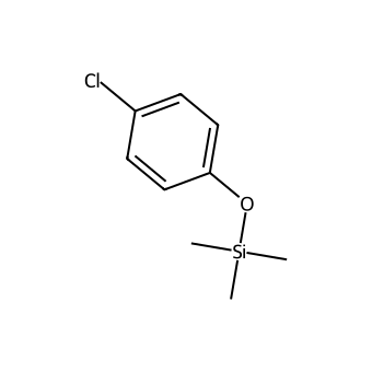 C[Si](C)(C)Oc1ccc(Cl)cc1